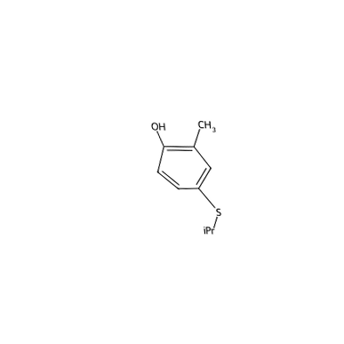 Cc1cc(SC(C)C)ccc1O